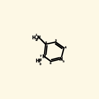 F.Nc1ccncn1